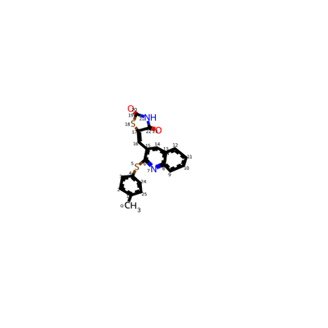 Cc1ccc(Sc2nc3ccccc3cc2/C=C2/SC(=O)NC2=O)cc1